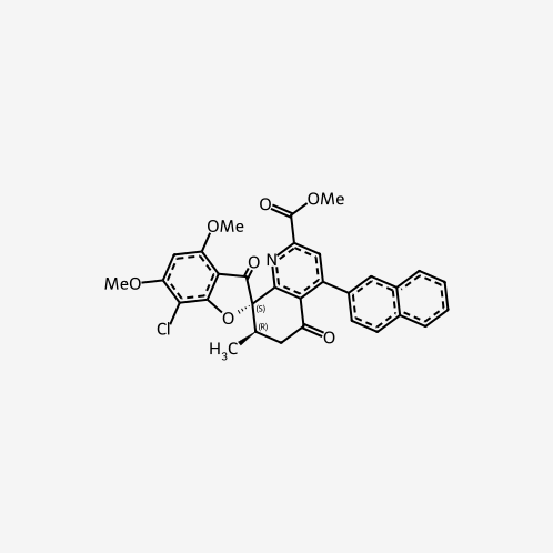 COC(=O)c1cc(-c2ccc3ccccc3c2)c2c(n1)[C@@]1(Oc3c(Cl)c(OC)cc(OC)c3C1=O)[C@H](C)CC2=O